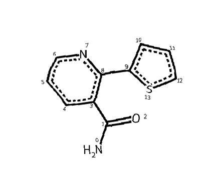 NC(=O)c1cccnc1-c1cccs1